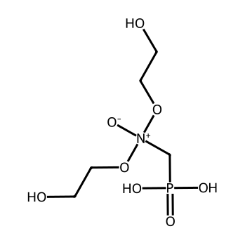 O=P(O)(O)C[N+]([O-])(OCCO)OCCO